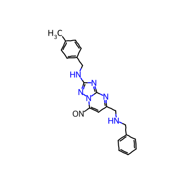 Cc1ccc(CNc2nc3nc(CNCc4ccccc4)cc(N=O)n3n2)cc1